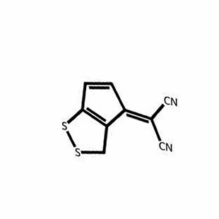 N#CC(C#N)=C1C=CC2=C1CSS2